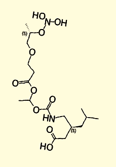 CC(C)C[C@H](CNC(=O)OC(C)OC(=O)CCOC[C@H](C)ON(O)O)CC(=O)O